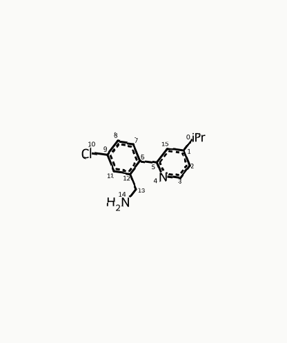 CC(C)c1ccnc(-c2ccc(Cl)cc2CN)c1